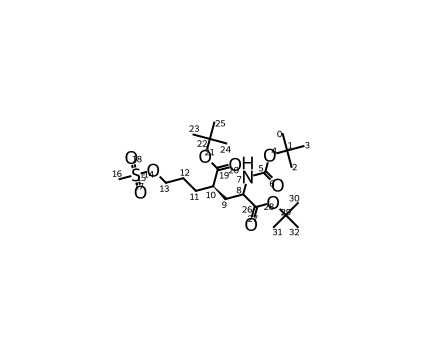 CC(C)(C)OC(=O)NC(C[C@@H](CCCOS(C)(=O)=O)C(=O)OC(C)(C)C)C(=O)OC(C)(C)C